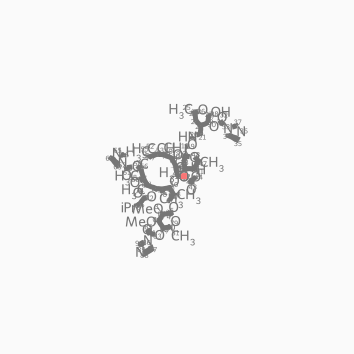 CO[C@@H]1[C@H](OC)[C@H](OC[C@H](C)[C@@H]2OC(=O)[C@H](C)[C@H](O[C@@]3(CONCC4C[C@@H](C)O[C@@H](O)C4OC(=O)n4ccnc4)C[C@@]4(C)OC(=O)O[C@H]4[C@H](C)O3)[C@@H](C)C(C)(C)[C@H](C)CC(C)(OC(=O)n3ccnc3)C(=O)[C@H](C)C(OC(=O)CC(C)C)C2C)O[C@H](C)[C@H]1OC(=O)n1ccnc1